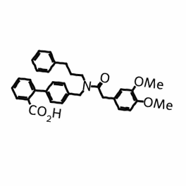 COc1ccc(CC(=O)N(CCCc2ccccc2)Cc2ccc(-c3ccccc3C(=O)O)cc2)cc1OC